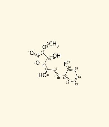 CO[C@H]1C(=O)O[C@@H]([C@H](O)/C=C/c2ccccc2F)[C@H]1O